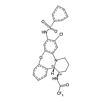 O=C(N[C@@H]1CCCN2c3cc(Cl)c(NS(=O)(=O)c4ccccc4)cc3Oc3ccccc3[C@@H]12)C(F)(F)F